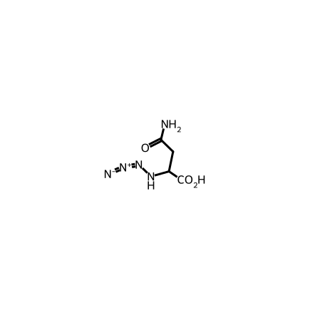 [N-]=[N+]=NNC(CC(N)=O)C(=O)O